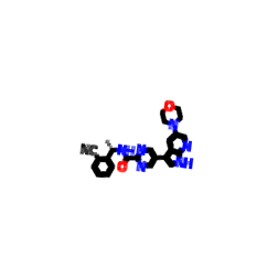 C[C@H](NC(=O)c1ncc(-c2c[nH]c3ncc(N4CCOCC4)cc23)cn1)c1ccccc1C#N